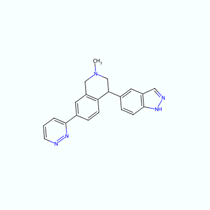 CN1Cc2cc(-c3cccnn3)ccc2C(c2ccc3[nH]ncc3c2)C1